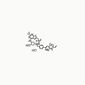 C=CC(=O)N(C)c1nnc(-c2ccc(CN[C@H]3C[C@@H](O)[C@@H](N(C)c4nc(OC)nc5sc(CC(F)(F)F)cc45)C3)cc2)cc1OC.Cl